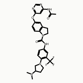 CC(=O)Nc1cc(Oc2ccc3c(c2)CCN3C(=O)Nc2ccc(N3CCC(N(C)C)C3)c(C(F)(F)F)c2)ncn1